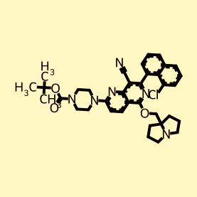 CC(C)(C)OC(=O)N1CCN(c2ccc3c(OCC45CCCN4CCC5)nc(-c4cccc5cccc(Cl)c45)c(C#N)c3n2)CC1